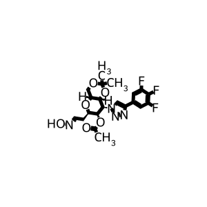 CC(=O)O[C@@H]1[C@@H](n2cc(-c3cc(F)c(F)c(F)c3)nn2)[C@H]2OC(C)(C)OC[C@H]2O[C@@H]1CC=NO